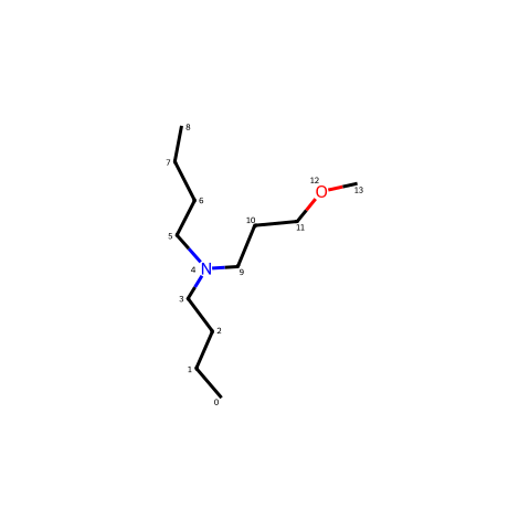 CCCCN(CCCC)CCCOC